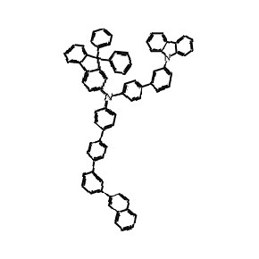 c1ccc(C2(c3ccccc3)c3ccccc3-c3ccc(N(c4ccc(-c5ccc(-c6cccc(-c7ccc8ccccc8c7)c6)cc5)cc4)c4ccc(-c5cccc(-n6c7ccccc7c7ccccc76)c5)cc4)cc32)cc1